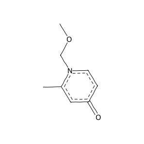 COCn1ccc(=O)cc1C